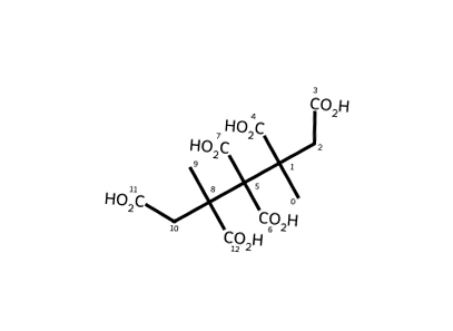 CC(CC(=O)O)(C(=O)O)C(C(=O)O)(C(=O)O)C(C)(CC(=O)O)C(=O)O